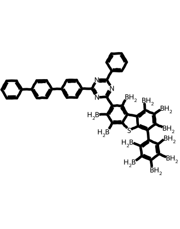 Bc1c(B)c(B)c(-c2c(B)c(B)c(B)c3c2sc2c(B)c(B)c(-c4nc(-c5ccccc5)nc(-c5ccc(-c6ccc(-c7ccccc7)cc6)cc5)n4)c(B)c23)c(B)c1B